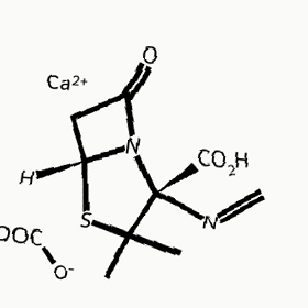 C=N[C@@]1(C(=O)O)N2C(=O)C[C@H]2SC1(C)C.O=C([O-])[O-].[Ca+2]